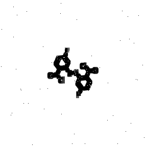 O=C(Cl)c1ccc(F)cc1SSc1cc(F)ccc1C(=O)Cl